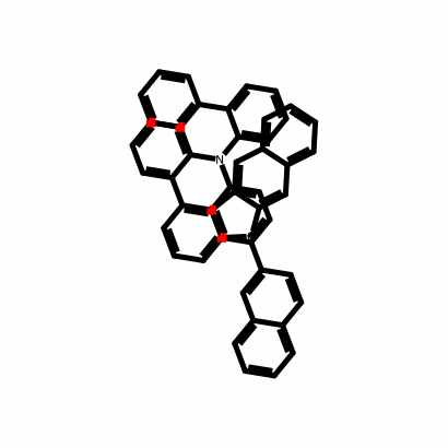 c1ccc(-c2ccccc2N(c2ccc(-c3ccc4ccccc4c3)cc2)c2ccccc2-c2cccc3oc4cc5ccccc5cc4c23)cc1